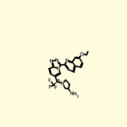 CCOc1ccc2ccc(-c3nnc4ccc([C@@H](N5CCC(N)C5)C(F)(F)F)cn34)nc2c1